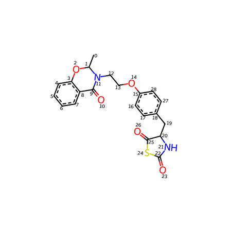 CC1Oc2ccccc2C(=O)N1CCOc1ccc(CC2NC(=O)SC2=O)cc1